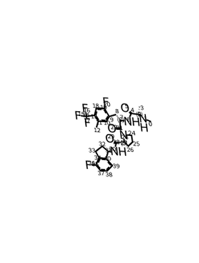 CN[C@@H](C)C(=O)N[C@@H](Cc1cc(C)c(C(F)(F)F)cc1F)C(=O)N1CCC[C@H]1C(=O)NC1CCc2c(F)cccc21